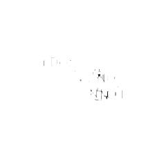 CCCCCCCCCCCCCCCC[n+]1ccn(C)c1.O=[N+]([O-])[O-]